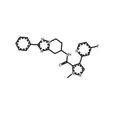 Cn1ncc(-c2cc(F)ccn2)c1C(=O)NC1CCn2nc(-c3ccccc3)nc2C1